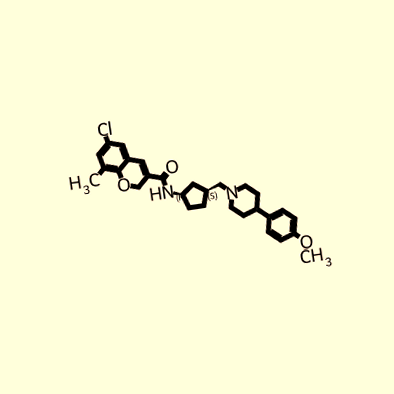 COc1ccc(C2CCN(C[C@H]3CC[C@@H](NC(=O)C4=Cc5cc(Cl)cc(C)c5OC4)C3)CC2)cc1